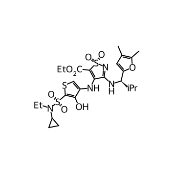 CCOC(=O)C1=C(Nc2csc(S(=O)(=O)N(CC)C3CC3)c2O)C(N[C@@H](c2cc(C)c(C)o2)C(C)C)=NS1(=O)=O